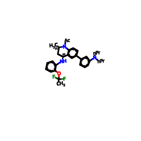 CCCN(CCC)c1cccc(-c2ccc3c(c2)[C@H](Nc2ccccc2OC(C)(F)F)C[C@H](C)N3C(C)=O)c1